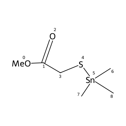 COC(=O)C[S][Sn]([CH3])([CH3])[CH3]